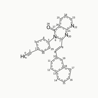 C#Cc1ccc(-n2c(C=Cc3ccc4ccccc4c3)nc3ncccc3c2=O)cc1